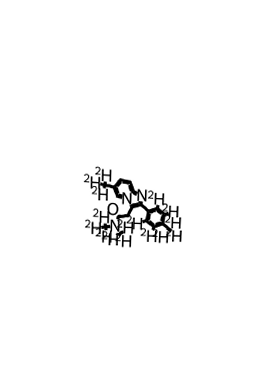 [2H]c1c([2H])c(C([2H])([2H])[2H])c([2H])c([2H])c1-c1nc2ccc(C([2H])([2H])[2H])cn2c1CC(=O)N(C([2H])([2H])[2H])C([2H])([2H])[2H]